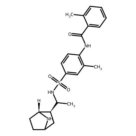 Cc1cc(S(=O)(=O)NC(C)[C@H]2CC3CC[C@H]2N3)ccc1NC(=O)c1ccccc1C